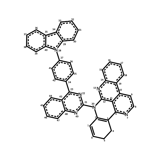 C1=CC2=C(CC1)c1nccc3c1c(nc1ccccc13)N2c1nc(-c2ccc(-n3c4ccccc4c4ccccc43)cc2)c2ccccc2n1